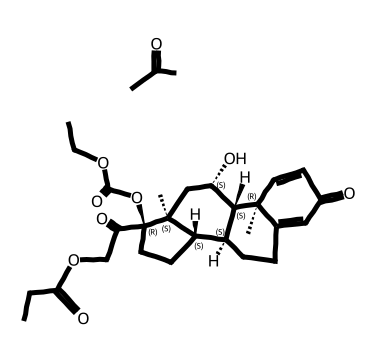 CC(C)=O.CCOC(=O)O[C@]1(C(=O)COC(=O)CC)CC[C@H]2[C@@H]3CCC4=CC(=O)C=C[C@]4(C)[C@H]3[C@@H](O)C[C@@]21C